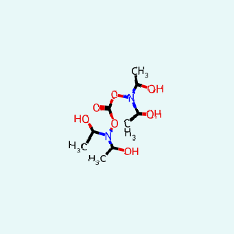 CC(O)N(OC(=O)ON(C(C)O)C(C)O)C(C)O